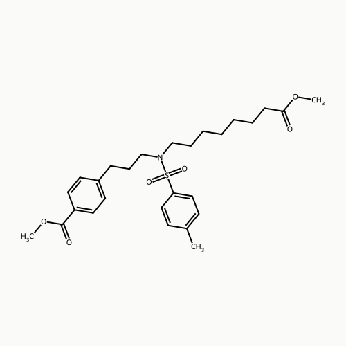 COC(=O)CCCCCCCN(CCCc1ccc(C(=O)OC)cc1)S(=O)(=O)c1ccc(C)cc1